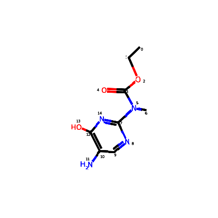 CCOC(=O)N(C)c1ncc(N)c(O)n1